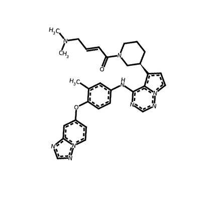 Cc1cc(Nc2ncnn3ccc([C@@H]4CCCN(C(=O)/C=C/CN(C)C)C4)c23)ccc1Oc1ccn2ncnc2c1